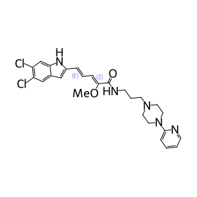 CO/C(=C\C=C\c1cc2cc(Cl)c(Cl)cc2[nH]1)C(=O)NCCCN1CCN(c2ccccn2)CC1